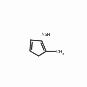 CC1=CC=CC1.[NaH]